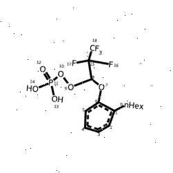 CCCCCCc1ccccc1OC(OOP(=O)(O)O)C(F)(F)C(F)(F)F